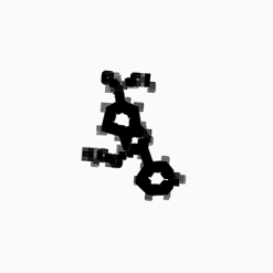 COn1c(-c2cccnc2)nc2cc([S+](C)[O-])ccc21